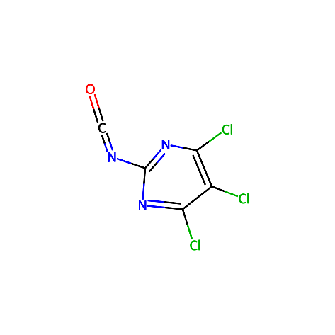 O=C=Nc1nc(Cl)c(Cl)c(Cl)n1